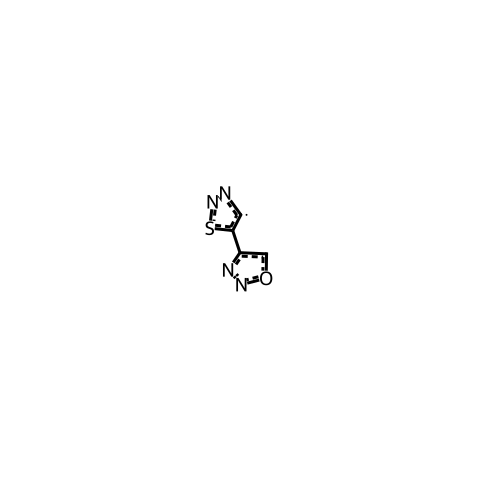 [c]1nnsc1-c1conn1